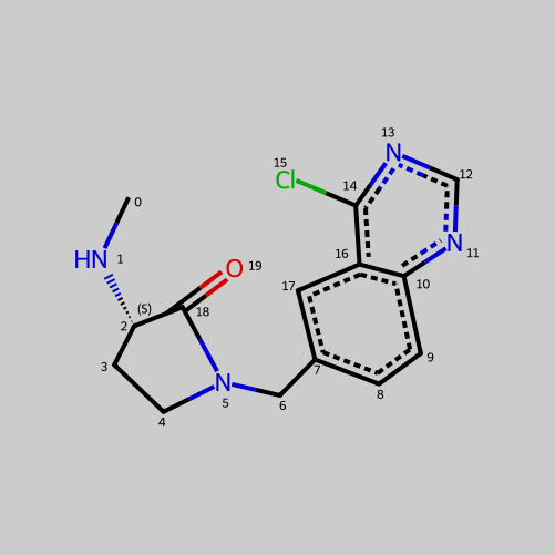 CN[C@H]1CCN(Cc2ccc3ncnc(Cl)c3c2)C1=O